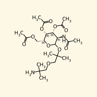 CC(=O)N[C@H]1C(OC(C)(C)COCC(C)(C)N)O[C@H](COC(C)=O)[C@H](OC(C)=O)[C@@H]1OC(C)=O